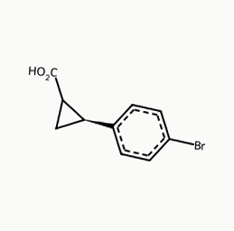 O=C(O)C1C[C@@H]1c1ccc(Br)cc1